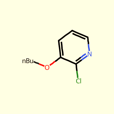 CCCCOc1cccnc1Cl